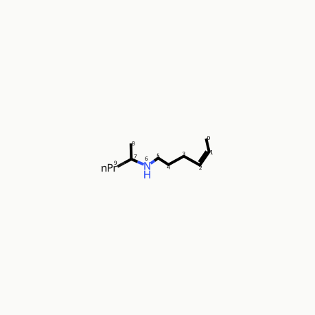 C/C=C\CCCNC(C)CCC